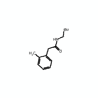 CCC(C)[CH]NC(=O)Cc1ccccc1C